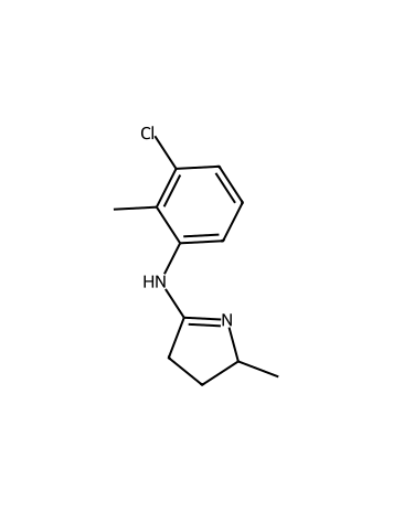 Cc1c(Cl)cccc1NC1=NC(C)CC1